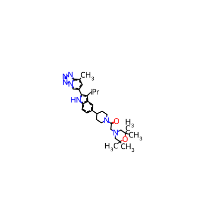 Cc1cc(-c2[nH]c3ccc(C4CCN(C(=O)CN5CC(C)(C)OC(C)(C)C5)CC4)cc3c2C(C)C)cn2nnnc12